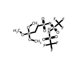 CO[Si](CCS(=O)(=O)N=S(=O)(NS(=O)(=O)C(F)(F)F)C(F)(F)F)(OC)OC